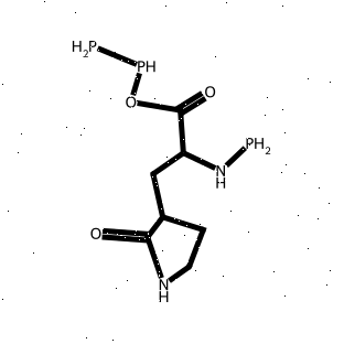 O=C1NCCC1CC(NP)C(=O)OPP